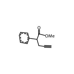 C#CCC(C(=O)OC)c1ccccc1